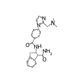 CN(C)Cc1nccn1-c1ccc(C(=O)NC2Cc3ccccc3C2C(N)=O)cc1